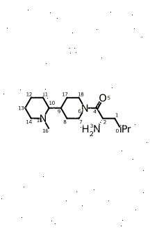 CC(C)C[C@H](N)C(=O)N1CCC(C2CCCCN2C)CC1